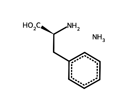 N.N[C@@H](Cc1ccccc1)C(=O)O